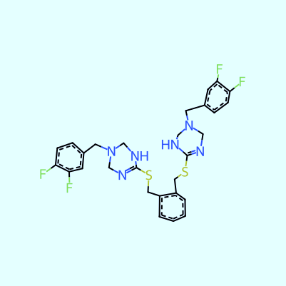 Fc1ccc(CN2CN=C(SCc3ccccc3CSC3=NCN(Cc4ccc(F)c(F)c4)CN3)NC2)cc1F